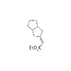 CCOC(=O)C=C1CC2CCCC2C1